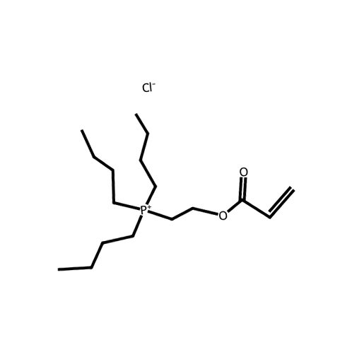 C=CC(=O)OCC[P+](CCCC)(CCCC)CCCC.[Cl-]